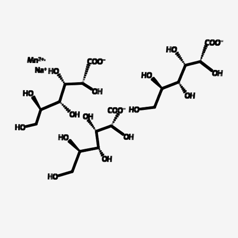 O=C([O-])[C@H](O)[C@@H](O)[C@H](O)[C@H](O)CO.O=C([O-])[C@H](O)[C@@H](O)[C@H](O)[C@H](O)CO.O=C([O-])[C@H](O)[C@@H](O)[C@H](O)[C@H](O)CO.[Mn+2].[Na+]